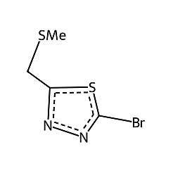 CSCc1nnc(Br)s1